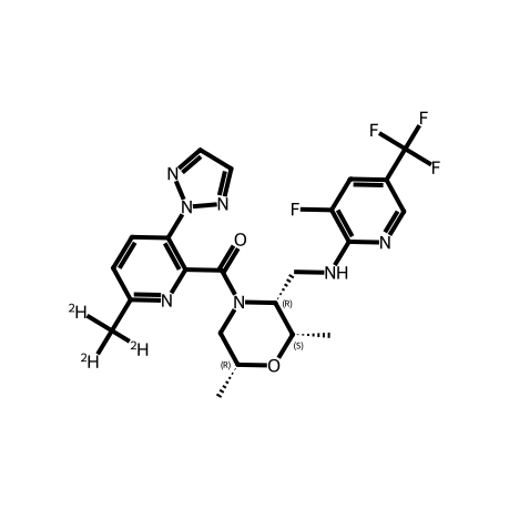 [2H]C([2H])([2H])c1ccc(-n2nccn2)c(C(=O)N2C[C@@H](C)O[C@@H](C)[C@H]2CNc2ncc(C(F)(F)F)cc2F)n1